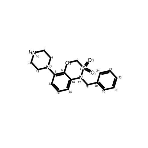 O=S1(=O)COc2c(N3CCNCC3)cccc2N1Cc1ccccc1